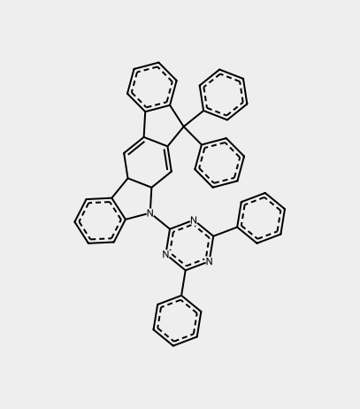 C1=C2C(=CC3C1c1ccccc1N3c1nc(-c3ccccc3)nc(-c3ccccc3)n1)C(c1ccccc1)(c1ccccc1)c1ccccc12